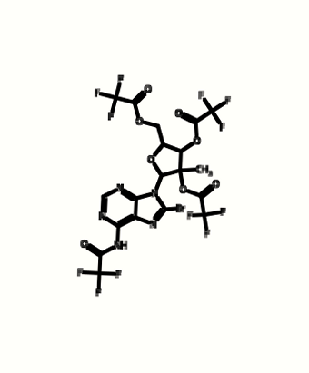 CC1(OC(=O)C(F)(F)F)C(OC(=O)C(F)(F)F)C(COC(=O)C(F)(F)F)OC1n1c(Br)nc2c(NC(=O)C(F)(F)F)ncnc21